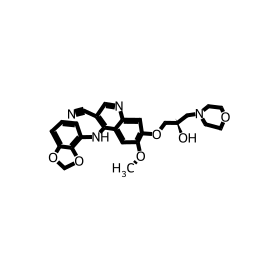 COc1cc2c(Nc3cccc4c3OCO4)c(C#N)cnc2cc1OC[C@H](O)CN1CCOCC1